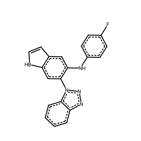 Fc1ccc(Nc2cc3c(cc2-n2nnc4ccccc42)BC=C3)cc1